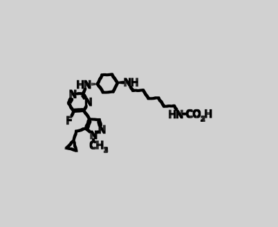 Cn1ncc(-c2nc(N[C@H]3CC[C@H](NCCCCCCNC(=O)O)CC3)ncc2F)c1CC1CC1